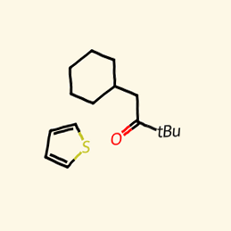 CC(C)(C)C(=O)CC1CCCCC1.c1ccsc1